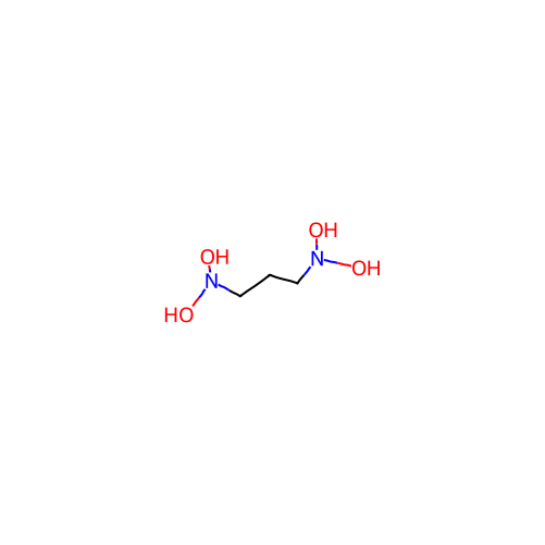 ON(O)CCCN(O)O